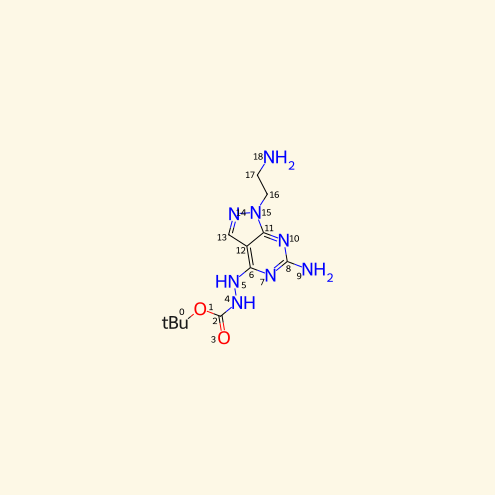 CC(C)(C)OC(=O)NNc1nc(N)nc2c1cnn2CCN